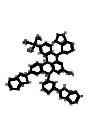 Cc1cc2c3c(c1)N(c1cccc4c1OCO4)c1ccc(C(C)(C)C)cc1B3c1ccc(-c3cc4ccccc4s3)cc1N2c1cccc(-c2cc3ccccc3s2)c1